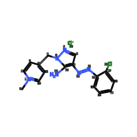 C[n+]1ccc(Cn2ncc(/N=N/c3ccccc3Cl)c2N)cc1.[Cl-]